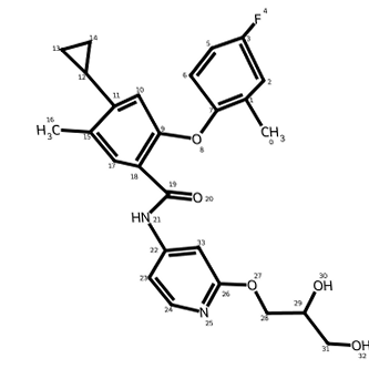 Cc1cc(F)ccc1Oc1cc(C2CC2)c(C)cc1C(=O)Nc1ccnc(OCC(O)CO)c1